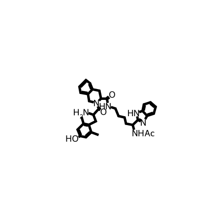 CC(=O)NC(CCCCNC(=O)C1Cc2ccccc2CN1C(=O)C(N)Cc1c(C)cc(O)cc1C)c1nc2ccccc2[nH]1